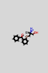 CCC(N)(CO)CSc1ccccc1C(=O)c1ccccc1